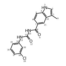 Cc1c[nH]c2ccc(C(=O)NC(=O)Nc3cccc(Cl)c3)cc12